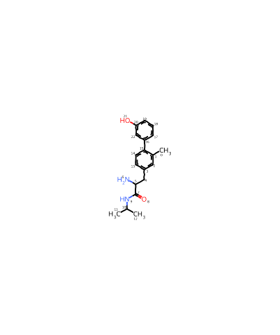 Cc1cc(CC(N)C(=O)NC(C)C)ccc1-c1cccc(O)c1